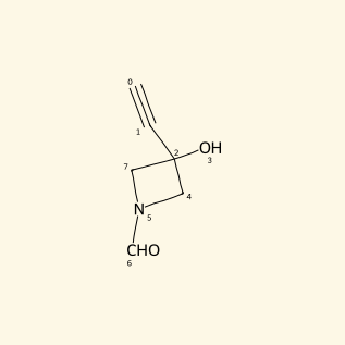 C#CC1(O)CN(C=O)C1